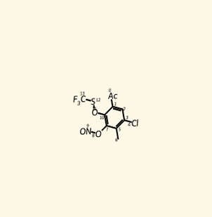 CC(=O)c1cc(Cl)c(C)c(ON=O)c1OSC(F)(F)F